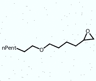 CCCCCCCOCCCCC1CO1